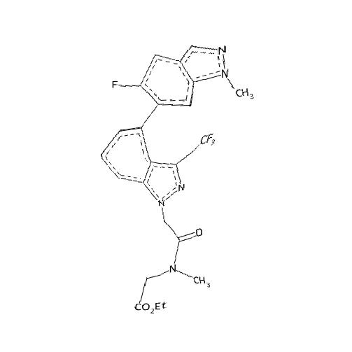 CCOC(=O)CN(C)C(=O)Cn1nc(C(F)(F)F)c2c(-c3cc4c(cnn4C)cc3F)cccc21